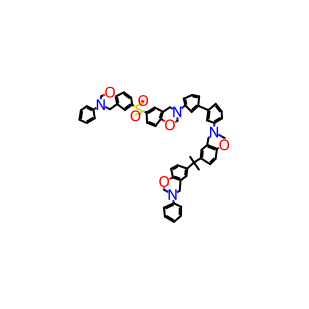 CC(C)(c1ccc2c(c1)CN(c1ccccc1)CO2)c1ccc2c(c1)CN(c1cccc(-c3cccc(N4COc5ccc(S(=O)(=O)c6ccc7c(c6)CN(c6ccccc6)CO7)cc5C4)c3)c1)CO2